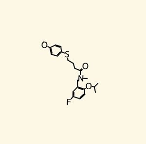 COc1ccc(SCCCC(=O)N(C)Cc2cc(F)ccc2OC(C)C)cc1